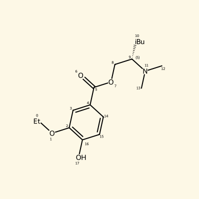 CCOc1cc(C(=O)OC[C@H](C(C)CC)N(C)C)ccc1O